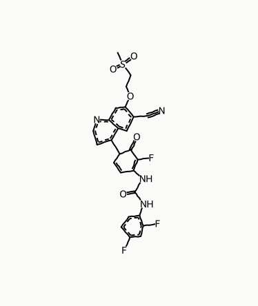 CS(=O)(=O)CCOc1cc2nccc(C3C=CC(NC(=O)Nc4ccc(F)cc4F)=C(F)C3=O)c2cc1C#N